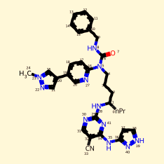 CCCC(CCCN(C(=O)NCc1ccccc1)c1ccc(-c2cnn(C)c2)cn1)Nc1ncc(C#N)c(Nc2cc[nH]n2)n1